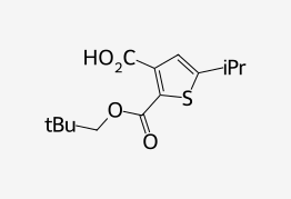 CC(C)c1cc(C(=O)O)c(C(=O)OCC(C)(C)C)s1